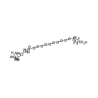 CCCN(OC(C)C)C(=O)C1=Cc2ccc(-c3cnc(CNC(=O)CCOCCOCCOCCOCCOCCOCCOCCOCCOCCOCCC(=O)Oc4c(F)c(F)c(S(=O)(=O)O)c(F)c4F)nc3)cc2N=C(N)C1